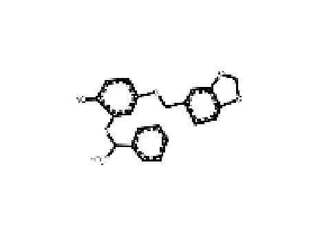 N#Cc1ccc(OCc2ccc3c(c2)OCO3)cc1OC(C(=O)O)c1ccccc1